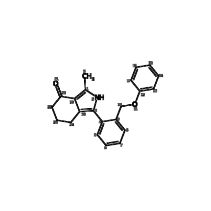 Cc1[nH]c(-c2ccccc2COc2ccccc2)c2c1C(=O)CCC2